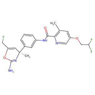 Cc1cc(OCC(F)F)cnc1C(=O)Nc1cccc([C@]2(C)C=C(CF)OC(N)=N2)c1